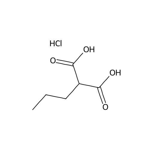 CCCC(C(=O)O)C(=O)O.Cl